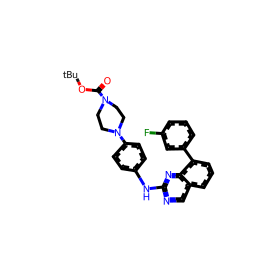 CC(C)(C)OC(=O)N1CCN(c2ccc(Nc3ncc4cccc(-c5cccc(F)c5)c4n3)cc2)CC1